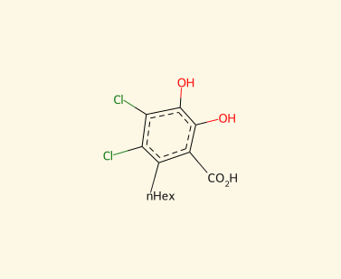 CCCCCCc1c(Cl)c(Cl)c(O)c(O)c1C(=O)O